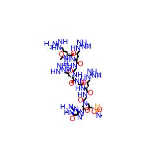 CC(=O)N[C@@H](CCCNC(=N)N)C(=O)N[C@@H](CCCNC(=N)N)C(=O)NCC(=O)N[C@@H](CCCNC(=N)N)C(=O)NCC(=O)N[C@@H](CCCNC(=N)N)C(=O)NCC(=O)N1C[C@@H](CO[PH](=O)N(C)C)O[C@@H](n2cnc3c(=O)[nH]c(N)nc32)C1